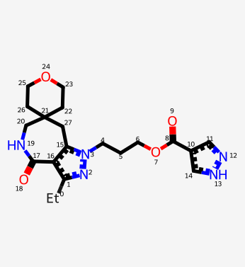 CCc1nn(CCCOC(=O)c2cn[nH]c2)c2c1C(=O)NCC1(CCOCC1)C2